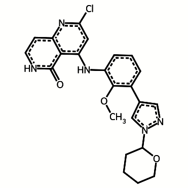 COc1c(Nc2cc(Cl)nc3cc[nH]c(=O)c23)cccc1-c1cnn(C2CCCCO2)c1